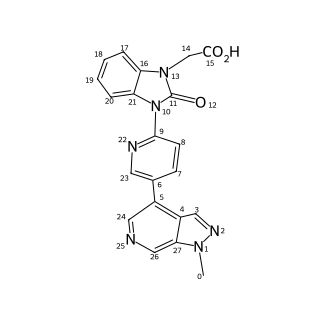 Cn1ncc2c(-c3ccc(-n4c(=O)n(CC(=O)O)c5ccccc54)nc3)cncc21